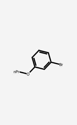 CCCOc1c[c]cc(Br)c1